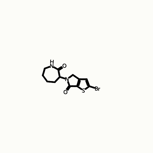 O=C1NCCCCC1N1Cc2cc(Br)sc2C1=O